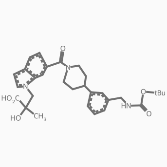 CC(C)(C)OC(=O)NCc1cccc(C2CCN(C(=O)c3ccc4ccn(CC(C)(O)C(=O)O)c4c3)CC2)c1